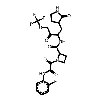 O=C(Nc1ccccc1F)C(=O)N1CCC1C(=O)NC(CC1CCNC1=O)C(=O)COC(F)(F)F